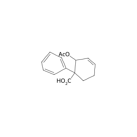 CC(=O)OC1C=CCCC1(C(=O)O)c1ccccc1